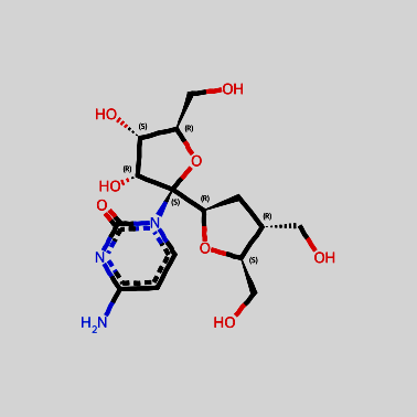 Nc1ccn([C@]2([C@H]3C[C@H](CO)[C@@H](CO)O3)O[C@H](CO)[C@@H](O)[C@H]2O)c(=O)n1